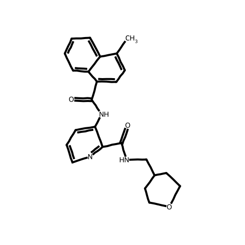 Cc1ccc(C(=O)Nc2cccnc2C(=O)NCC2CCOCC2)c2ccccc12